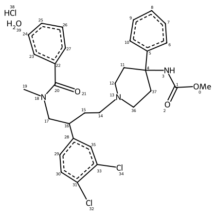 COC(=O)NC1(c2ccccc2)CCN(CCC(CN(C)C(=O)c2ccccc2)c2ccc(Cl)c(Cl)c2)CC1.Cl.O